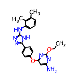 CCOc1nc(N)cc(Oc2ccc(-c3nnc(Nc4cccc(C)c4C)[nH]3)cc2)n1